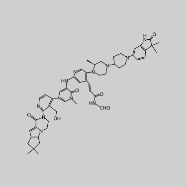 C[C@H]1CN(C2CCN(c3ccc4c(c3)NC(=O)C4(C)C)CC2)CCN1c1cnc(Nc2cc(-c3ccnc(N4CCn5c(cc6c5CC(C)(C)C6)C4=O)c3CO)cn(C)c2=O)cc1C=CC(=O)NC=O